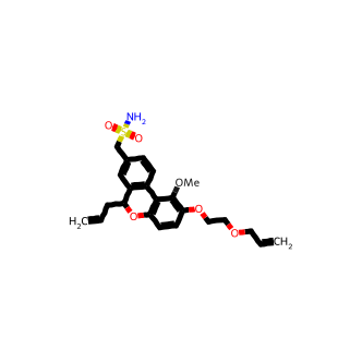 C=CCOCCOc1ccc2c(c1OC)-c1ccc(CS(N)(=O)=O)cc1C(CC=C)O2